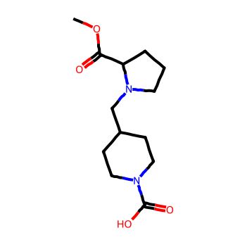 COC(=O)C1CCCN1CC1CCN(C(=O)O)CC1